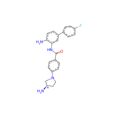 Nc1ccc(-c2ccc(F)cc2)cc1NC(=O)c1ccc(N2CC[C@@H](N)C2)cc1